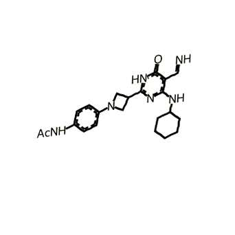 CC(=O)Nc1ccc(N2CC(c3nc(NC4CCCCC4)c(C=N)c(=O)[nH]3)C2)cc1